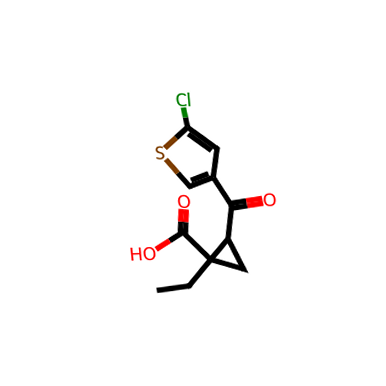 CCC1(C(=O)O)CC1C(=O)c1csc(Cl)c1